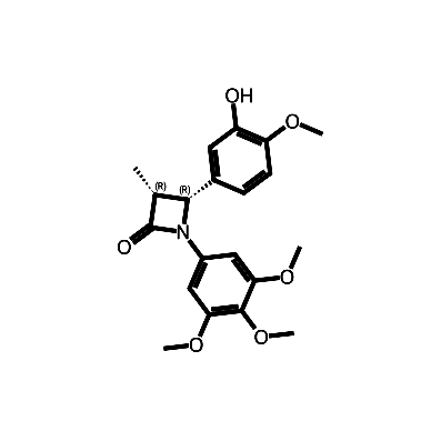 COc1ccc([C@H]2[C@@H](C)C(=O)N2c2cc(OC)c(OC)c(OC)c2)cc1O